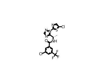 C[C@H](NC(=O)c1cc(Cl)cc(C(F)(F)F)c1)c1ncnn1-c1ncc(Cl)s1